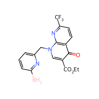 Bc1cccc(Cn2cc(C(=O)OCC)c(=O)c3ccc(C(F)(F)F)nc32)n1